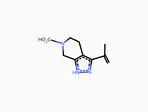 C=C(C)c1n[nH]c2c1CCN(C(=O)O)C2